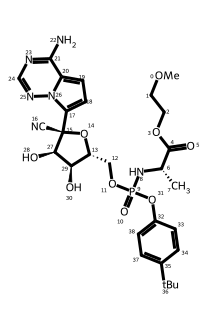 COCCOC(=O)[C@H](C)NP(=O)(OC[C@H]1O[C@@](C#N)(c2ccc3c(N)ncnn23)[C@H](O)[C@@H]1O)Oc1ccc(C(C)(C)C)cc1